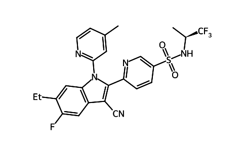 CCc1cc2c(cc1F)c(C#N)c(-c1ccc(S(=O)(=O)N[C@@H](C)C(F)(F)F)cn1)n2-c1cc(C)ccn1